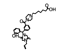 C=CCN1C[C@@H](C)N(C(c2cccc(O)c2)c2cccc(C(=O)N3CCN(CCCCCCC(=O)O)CC3)c2)C[C@H]1C